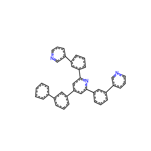 c1ccc(-c2cccc(-c3cc(-c4cccc(-c5cccnc5)c4)nc(-c4cccc(-c5cccnc5)c4)c3)c2)cc1